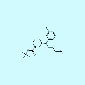 CC(C)(C)OC(=O)N1CCC[C@@H](C(CCCN)c2cccc(F)c2)C1